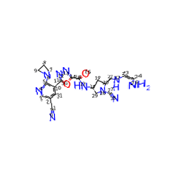 N#Cc1cnc(N2CCC2)c(-c2nnc(C(=O)NC3C[C@@H](CN/C=C\N)N(C#N)C3)o2)c1